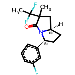 CC(F)(F)C1(C)C[C@H]2CC[C@H](c3cccc(F)c3)N2C1=O